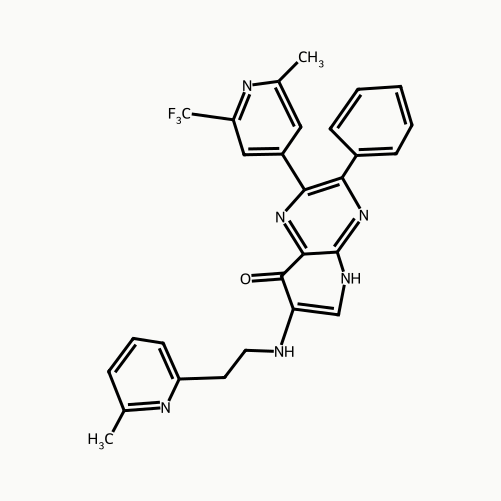 Cc1cccc(CCNc2c[nH]c3nc(-c4ccccc4)c(-c4cc(C)nc(C(F)(F)F)c4)nc3c2=O)n1